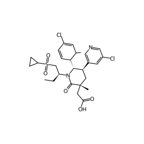 CC[C@@H](CS(=O)(=O)C1CC1)N1C(=O)[C@@](C)(CC(=O)O)C[C@H](c2cncc(Cl)c2)[C@H]1C1C=CC(Cl)=CC1C